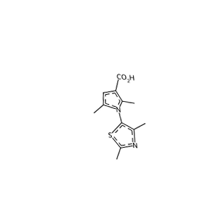 Cc1nc(C)c(-n2c(C)cc(C(=O)O)c2C)s1